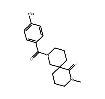 CN1CCCC2(CCCN(C(=O)c3ccc(C(C)(C)C)cc3)C2)C1=O